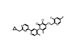 Cc1cnc(-c2ccnc(CC3CC3)n2)cc1-n1c(C)cc(OCc2ncc(F)cc2F)c(Cl)c1=O